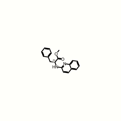 COC(=O)[C@H](Cc1ccccc1)Nc1ccc2ccccc2n1